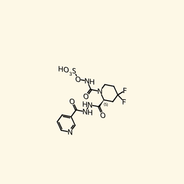 O=C(NNC(=O)[C@@H]1CC(F)(F)CCN1C(=O)NOS(=O)(=O)O)c1cccnc1